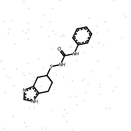 O=C(NSC1CCc2[nH]cnc2C1)Nc1ccccc1